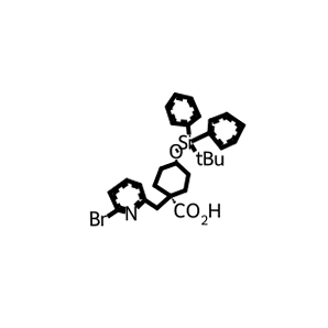 CC(C)(C)[Si](O[C@H]1CC[C@@](Cc2cccc(Br)n2)(C(=O)O)CC1)(c1ccccc1)c1ccccc1